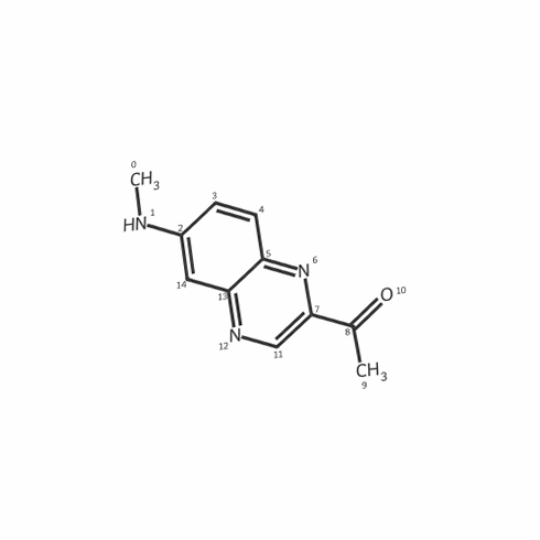 CNc1ccc2nc(C(C)=O)cnc2c1